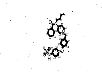 CCCCN(C(=O)C1CCCCC1)C1CCN(Cc2ccc(Oc3ccc(NS(C)(=O)=O)cc3)cc2)CC1